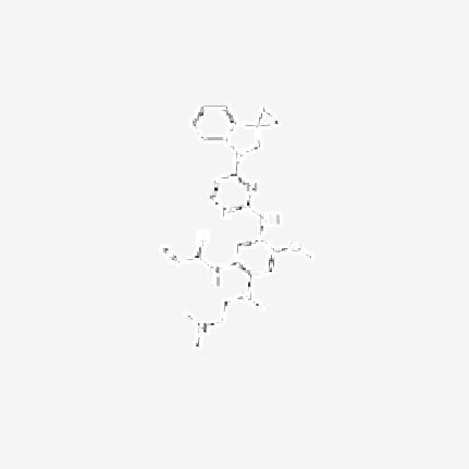 C=CC(=O)Nc1cc(Nc2nccc(N3CC4(CC4)c4ccccc43)n2)c(OC)cc1N(C)CCN(C)C